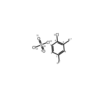 Fc1ccc(Cl)c(F)c1.O=S(=O)(Cl)Cl